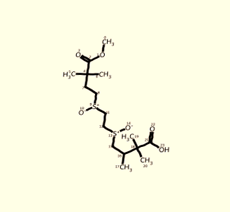 COC(=O)C(C)(C)CC[S+]([O-])CC[S+]([O-])CC(C)C(C)(C)C(=O)O